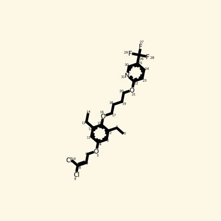 CCc1cc(OCC=C(Cl)Cl)cc(CC)c1OCCCCOc1ccc(C(F)(F)F)cn1